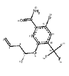 C=CC[C@@H](C)Oc1nc(C(N)=O)c(Br)cc1C(F)(F)F